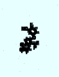 N#Cc1cc(Oc2ccc3c(c2C(F)F)CC(F)(F)S3(=O)=O)ccc1F